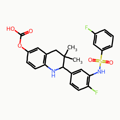 CC1(C)Cc2cc(OC(=O)O)ccc2NC1c1ccc(F)c(NS(=O)(=O)c2cccc(F)c2)c1